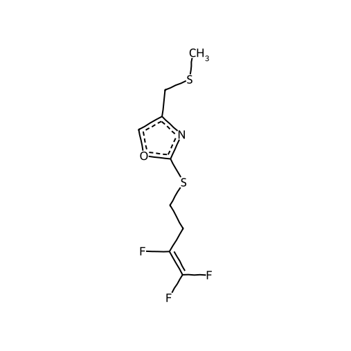 CSCc1coc(SCCC(F)=C(F)F)n1